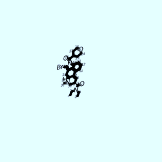 CCN(CC)C(=O)[C@@H]1C=C2c3cccc4c3c(c(Br)n4C(=O)C3CCOCC3)C[C@H]2N(C)C1